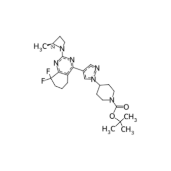 C[C@H]1CCN1c1nc(-c2cnn(C3CCN(C(=O)OC(C)(C)C)CC3)c2)c2c(n1)C(F)(F)CCC2